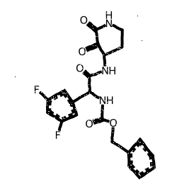 O=C(NC(C(=O)NC1CCNC(=O)C1=O)c1cc(F)cc(F)c1)OCc1ccccc1